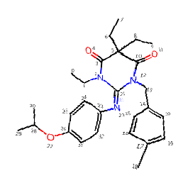 CCN1C(=O)C(CC)(CC)C(=O)N(Cc2ccc(C)cc2)/C1=N/c1ccc(OC(C)C)cc1